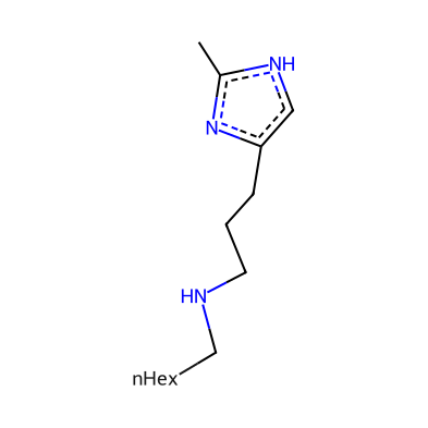 CCCCCCCNCCCc1c[nH]c(C)n1